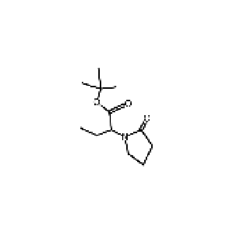 CCC(C(=O)OC(C)(C)C)N1CCCC1=O